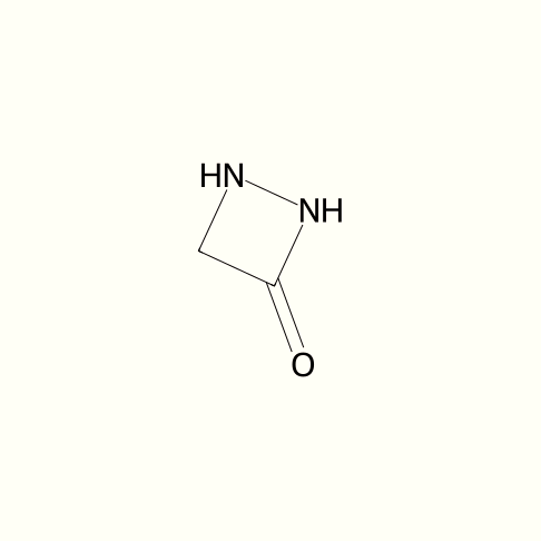 O=C1CNN1